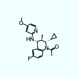 COc1ccnc(N[C@H]2c3cc(F)ccc3N(C(C)=O)[C@@H](C3CC3)[C@@H]2C)c1